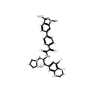 Cc1nn(C(C)C)c2cc(-c3ccc(C(=O)C(=O)N[C@H](CN4CCCC4)[C@@H](O)c4cc(F)c5c(c4)OCCO5)cc3)ccc12